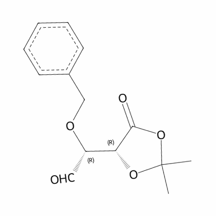 CC1(C)OC(=O)[C@@H]([C@H](C=O)OCc2ccccc2)O1